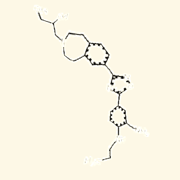 CCCNc1ccc(-c2nc(-c3ccc4c(c3)CCN(CC(O)CO)CC4)no2)cc1N